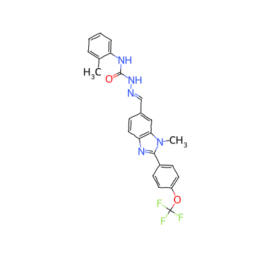 Cc1ccccc1NC(=O)N/N=C/c1ccc2nc(-c3ccc(OC(F)(F)F)cc3)n(C)c2c1